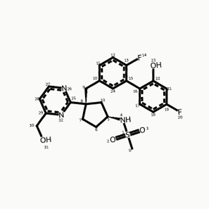 CS(=O)(=O)N[C@H]1CC[C@](Cc2ccc(F)c(-c3ccc(F)cc3O)c2)(c2nccc(CO)n2)C1